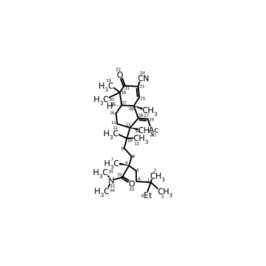 CCC(C)(C)CC[C@@](C)(CCC(C)(C)[C@]1(C)CC[C@H]2C(C)(C)C(=O)C(C#N)=C[C@]2(C)/C1=C/C(C)=O)C(=O)N(C)C